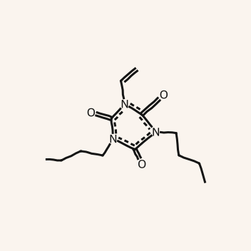 C=Cn1c(=O)n(CCCC)c(=O)n(CCCC)c1=O